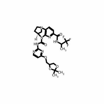 CC(NC(=O)c1ccc2c(n1)N(C(=O)Nc1nccc(OCC3COC(C)(C)O3)n1)[C@H]1CCN2C1)C(F)(F)F